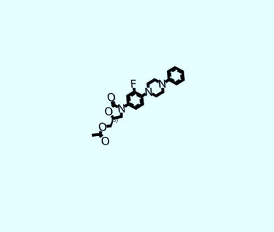 CC(=O)OC[C@@H]1CN(c2ccc(N3CCN(c4ccccc4)CC3)c(F)c2)C(=O)O1